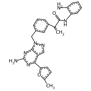 C=C(C(=O)Nc1ccccc1N)c1cccc(Cn2ncc3c(-c4ccc(C)o4)nc(N)nc32)c1